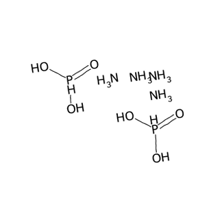 N.N.N.N.O=[PH](O)O.O=[PH](O)O